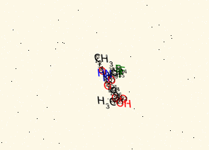 CCCCCOCCN(CCOc1ccc(CC(OCC)C(=O)O)cc1)C(=O)Nc1ccc(C(F)(F)F)cc1